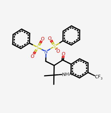 CC(=O)NC(C)(C)C(CN(S(=O)(=O)c1ccccc1)S(=O)(=O)c1ccccc1)C(=O)c1ccc(C(F)(F)F)cc1